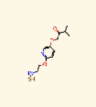 CC(C)C(=O)COc1ccc(OCCNS)nc1